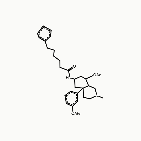 COc1cccc(C23CCN(C)CC2C(OC(C)=O)CC(NC(=O)CCCCCc2ccccc2)C3)c1